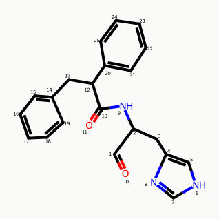 O=[C]C(Cc1c[nH]cn1)NC(=O)C(Cc1ccccc1)c1ccccc1